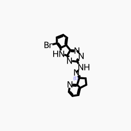 Brc1cccc2c1[nH]c1nc(N/N=C3\CCc4cccnc43)nnc12